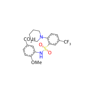 COc1ccc(C(=O)O)cc1NS(=O)(=O)c1cc(C(F)(F)F)ccc1N1CCCCC1